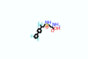 N=S(=O)(CCC(c1ccc(-c2cc(F)cc(F)c2)cc1)C(F)(F)F)CC[C@H](N)C(=O)O